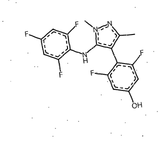 Cc1nn(C)c(Nc2c(F)cc(F)cc2F)c1-c1c(F)cc(O)cc1F